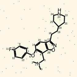 CN(C)Cc1c(Oc2ccc(F)cc2)ccc2c(CCC3CCNCC3)noc12